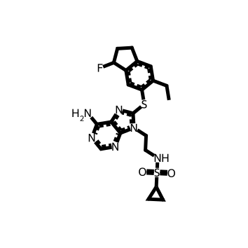 CCc1cc2c(cc1Sc1nc3c(N)ncnc3n1CCNS(=O)(=O)C1CC1)C(F)CC2